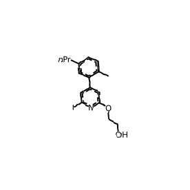 CCCc1ccc(C)c(-c2cc(I)nc(OCCO)c2)c1